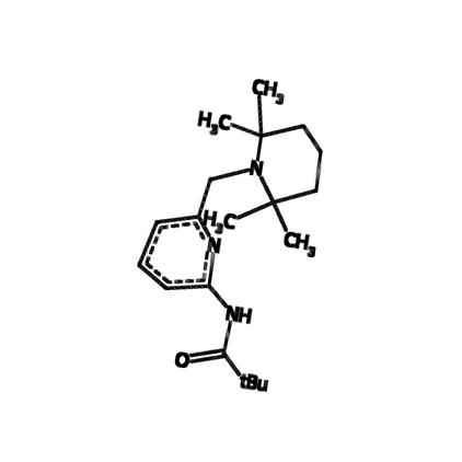 CC(C)(C)C(=O)Nc1cccc(CN2C(C)(C)CCCC2(C)C)n1